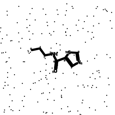 CCCNC(=O)c1cncs1